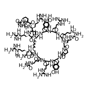 N=C(N)NCCC[C@H](NC(=O)[C@@H]1CSSC[C@H](NC(=O)[C@H](CCCNC(=N)N)NC(=O)[C@H](CCCNC(=N)N)NC(=O)[C@@H](N)CCCNC(N)=O)C(=O)N[C@@H](Cc2ccc(O)cc2)C(=O)N[C@@H](CCCNC(=N)N)C(=O)N[C@@H](CCCCN)C(=O)N[C@H](CCCNC(N)=O)C(=O)N2CCC[C@H]2C(=O)N[C@@H](Cc2ccc(O)cc2)C(=O)N[C@@H](CCCNC(=N)N)C(=O)N[C@@H](CCCNC(N)=O)C(=O)N1)C(N)=O